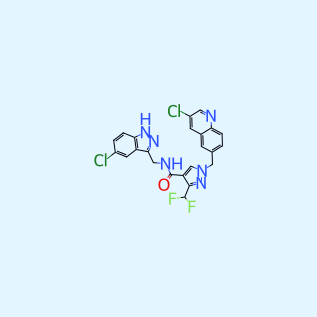 O=C(NCc1n[nH]c2ccc(Cl)cc12)c1cn(Cc2ccc3ncc(Cl)cc3c2)nc1C(F)F